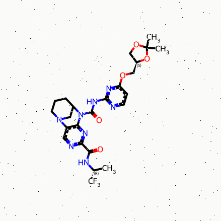 C[C@@H](NC(=O)c1ncc2c(n1)N(C(=O)Nc1nccc(OC[C@H]3COC(C)(C)O3)n1)C1CCCN2C1)C(F)(F)F